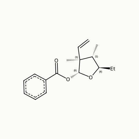 C=C[C@]1(C)[C@@H](OC(=O)c2ccccc2)O[C@H](CC)[C@H]1C